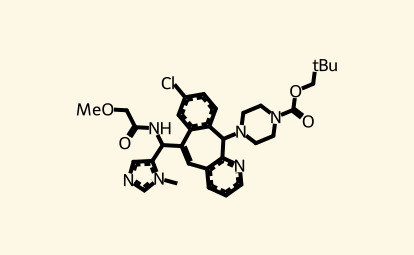 COCC(=O)NC(C1=Cc2cccnc2C(N2CCN(C(=O)OCC(C)(C)C)CC2)c2ccc(Cl)cc21)c1cncn1C